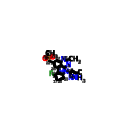 Cc1nc(Nc2cc(C)[nH]n2)c2c(-c3ccccc3F)cc(CS(C)(=O)=O)cc2n1